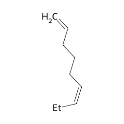 C=CCCC/C=C\CC